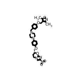 Cc1noc(C)c1COc1ccc(CN2CCN(c3ccc(OC[C@H]4CCn5cc([N+](=O)[O-])nc5O4)cc3)CC2)cc1